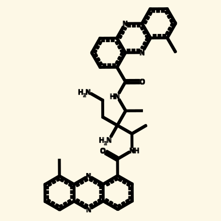 Cc1cccc2nc3cccc(C(=O)NC(C)C(N)(CCN)C(C)NC(=O)c4cccc5nc6cccc(C)c6nc45)c3nc12